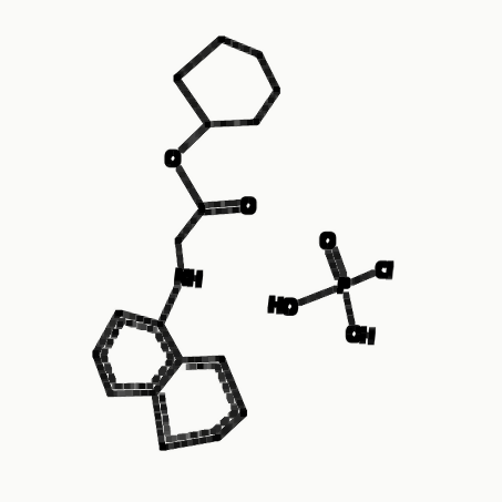 O=C(CNc1cccc2ccccc12)OC1CCCCC1.O=P(O)(O)Cl